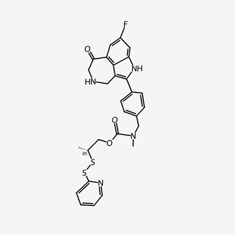 C[C@H](COC(=O)N(C)Cc1ccc(-c2[nH]c3cc(F)cc4c3c2CNCC4=O)cc1)SSc1ccccn1